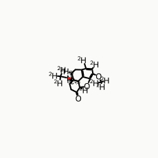 [2H]c1c([2H])c(OC([2H])([2H])[2H])c2c3c1C[C@]1([2H])[C@@H]4CCC(=O)C([2H])(O2)[C@]34CCN1C([2H])([2H])[2H]